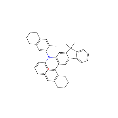 Cc1cc2c(cc1N(c1ccccc1)c1cc3c(cc1-c1cccc4c1CCCC4)-c1ccccc1C3(C)C)CCCC2